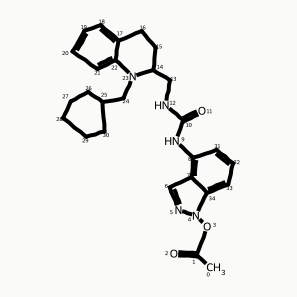 CC(=O)On1ncc2c(NC(=O)NCC3CCc4ccccc4N3CC3CCCCC3)cccc21